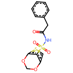 O=C(Cc1ccccc1)NS(=O)(=O)c1c2csc1OCO2